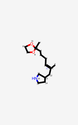 C/C(=C\CCCC1(C)OCCO1)CC1CCNC1